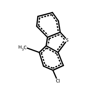 Cc1cc(Cl)cc2sc3ccccc3c12